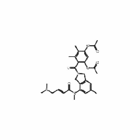 CC(=O)Oc1cc(OC(C)=O)c(C(=O)N2Cc3cc(C)cc(N(C)C(=O)/C=C/CN(C)C)c3C2)c(C)c1C